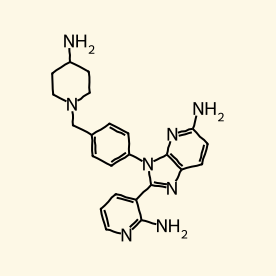 Nc1ccc2nc(-c3cccnc3N)n(-c3ccc(CN4CCC(N)CC4)cc3)c2n1